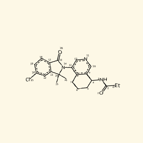 CCC(=O)NC1CCCc2c1cncc2N1C(=O)c2ccc(Cl)cc2C1(C)C